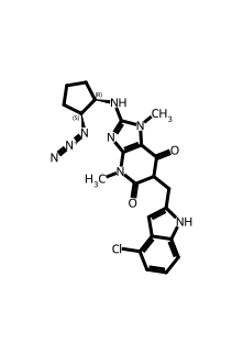 CN1C(=O)C(Cc2cc3c(Cl)cccc3[nH]2)C(=O)c2c1nc(N[C@@H]1CCC[C@@H]1N=[N+]=[N-])n2C